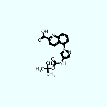 CC(C)(C)OC(=O)Nc1cnn(-c2cccc3nc(C(=O)O)ccc23)c1